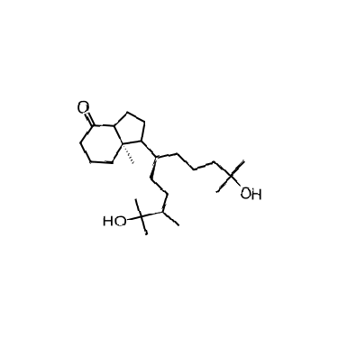 CC(CC[C@H](CCCC(C)(C)O)C1CCC2C(=O)CCC[C@@]21C)C(C)(C)O